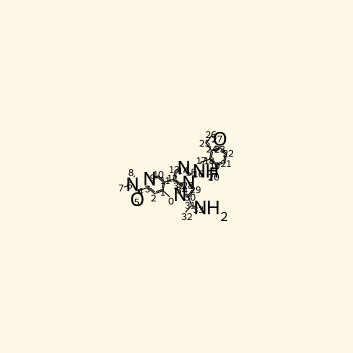 Cc1cc(C(=O)N(C)C)ncc1-c1cnc(NCc2c(F)ccc3c2CCO3)n2cc(C(C)N)nc12